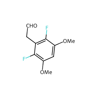 COc1cc(OC)c(F)c(CC=O)c1F